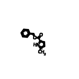 C[C@@H]1CC[C@H](C(=O)OCc2ccccc2)N1